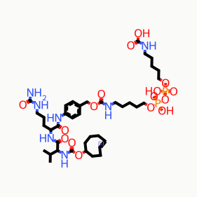 CC(C)C(NC(=O)OC1CC/C=C/CCC1)C(=O)NC(CCCNC(N)=O)C(=O)Nc1ccc(COC(=O)NCCCCCOP(=O)(O)OP(=O)(O)OCCCCCNC(=O)O)cc1